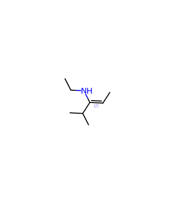 C/C=C(\NCC)C(C)C